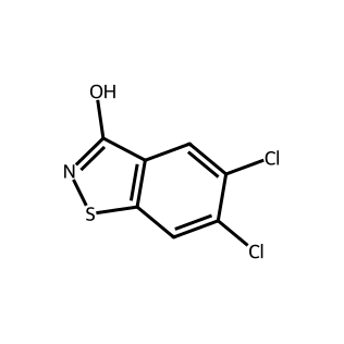 Oc1nsc2cc(Cl)c(Cl)cc12